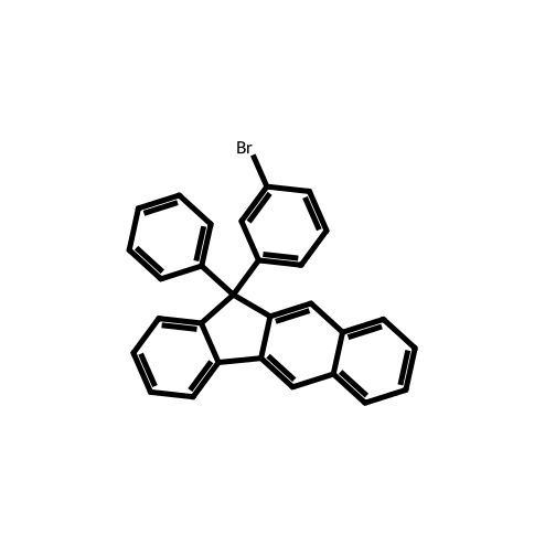 Brc1cccc(C2(c3ccccc3)c3ccccc3-c3cc4ccccc4cc32)c1